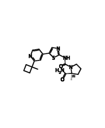 CC1(c2cc(-c3cnc(NC(=O)N4CCC[C@@]4(C)C(N)=O)s3)ccn2)CCC1